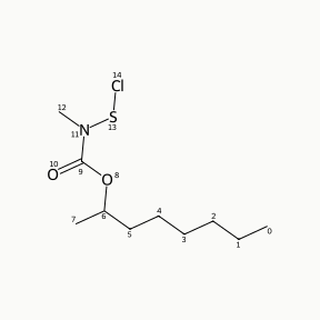 CCCCCCC(C)OC(=O)N(C)SCl